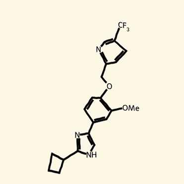 COc1cc(-c2c[nH]c(C3CCC3)n2)ccc1OCc1ccc(C(F)(F)F)cn1